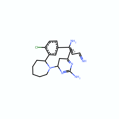 CC1=NC(N)=NC(N2CCCCCC2c2cc(/C(N)=C/C=N)ccc2Cl)C1